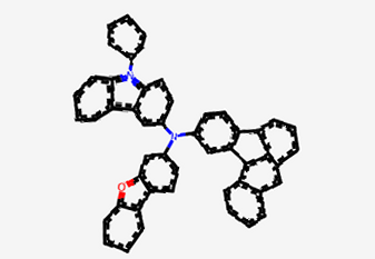 c1ccc(-n2c3ccccc3c3cc(N(c4ccc5c(c4)-c4c6ccccc6cc6cccc-5c46)c4ccc5c(c4)oc4ccccc45)ccc32)cc1